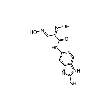 O=C(Nc1ccc2[nH]c(S)nc2c1)/C(C=NO)=N\O